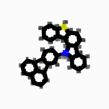 c1cc2c3c(cccc3c1)-c1cc(-n3c4ccccc4c4ccc5sc6ccccc6c5c43)ccc1-2